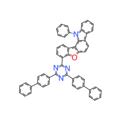 c1ccc(-c2ccc(-c3nc(-c4ccc(-c5ccccc5)cc4)nc(-c4cccc5c4oc4ccc6c7ccccc7n(-c7ccccc7)c6c45)n3)cc2)cc1